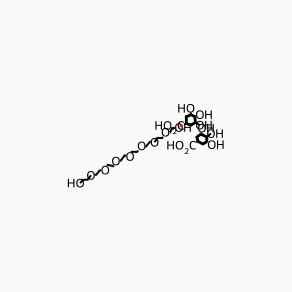 O=C(O)c1cc(O)c(O)c(O)c1.O=C(O)c1cc(O)c(O)c(O)c1.OCCOCCOCCOCCOCCOCCOCCOCCO